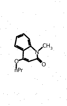 CCCOc1cc(=O)n(C)c2ccccc12